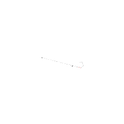 CC/C=C\C/C=C\C/C=C\CCCCCCCC(=O)OCCCCCCCCCCCCCCCCCCCCCCCCCCCCC(=O)O